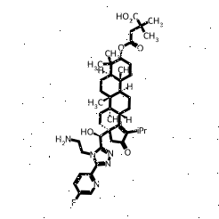 CC(C)C1=C2[C@H]3CC[C@@H]4[C@@]5(C)CC[C@H](OC(=O)CC(C)(C)C(=O)O)C(C)(C)[C@@H]5CC[C@@]4(C)[C@]3(C)CC[C@@]2([C@H](O)c2nnc(-c3ccc(F)cn3)n2CCN)CC1=O